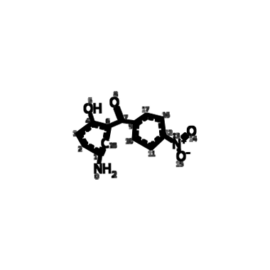 Nc1ccc(O)c(C(=O)c2ccc([N+](=O)[O-])cc2)c1